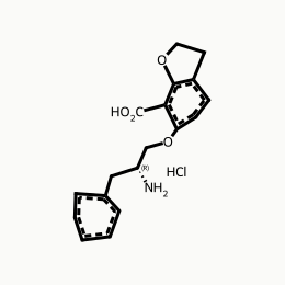 Cl.N[C@@H](COc1ccc2c(c1C(=O)O)OCC2)Cc1ccccc1